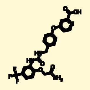 NC(=O)COc1ccc(C(F)(F)F)cc1NC(=O)NCc1ccc(Oc2ccnc(C(=O)O)c2)cc1